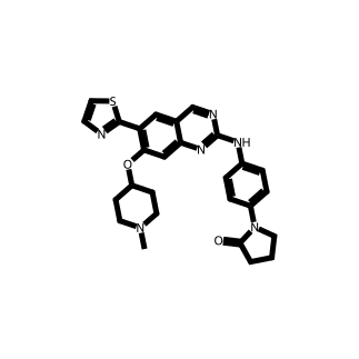 CN1CCC(Oc2cc3nc(Nc4ccc(N5CCCC5=O)cc4)ncc3cc2-c2nccs2)CC1